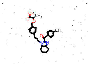 Cc1ccc(C(=O)c2nc3c(n2CC=Cc2ccc(CO[C@H](C)C(=O)O)cc2)CCCC3)cc1